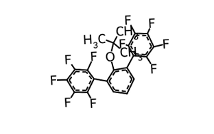 CC(C)(C)Oc1c(-c2c(F)c(F)c(F)c(F)c2F)cccc1-c1c(F)c(F)c(F)c(F)c1F